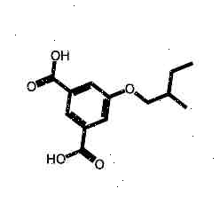 CCC(C)COc1cc(C(=O)O)cc(C(=O)O)c1